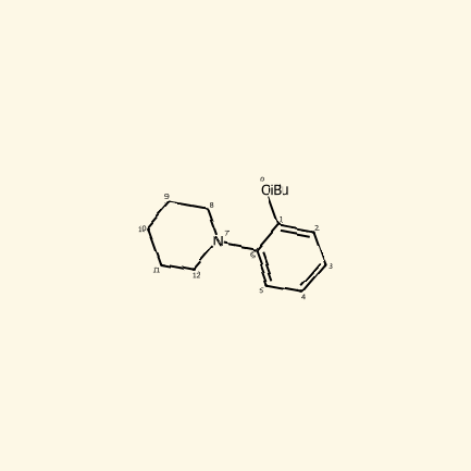 CC(C)COc1ccccc1N1CCCCC1